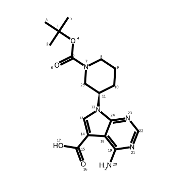 CC(C)(C)OC(=O)N1CCC[C@@H](n2cc(C(=O)O)c3c(N)ncnc32)C1